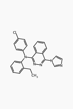 CCc1ccccc1N(c1ccc(Cl)cc1)c1nnc(-n2ccnc2)c2ccccc12